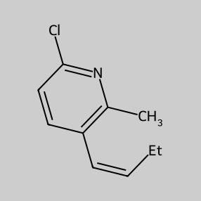 CC/C=C\c1ccc(Cl)nc1C